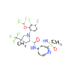 CC1(C(F)(F)F)C[C@@H](C(=O)Nc2ccnc([S@](C)(=N)=O)c2)N(c2ccc(F)c(F)c2OC(F)F)C1